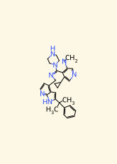 C=Nc1cncc(C2CC2)c1/C(=N\Cc1ccnc2[nH]c(C(C)(C)c3ccccc3)cc12)N1CCNCC1